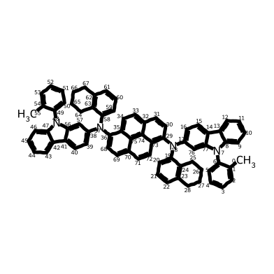 Cc1ccccc1-n1c2ccccc2c2ccc(N(c3cccc4c3CCCC4)c3ccc4ccc5c(N(c6ccc7c8ccccc8n(-c8ccccc8C)c7c6)c6cccc7c6CCCC7)ccc6ccc3c4c65)cc21